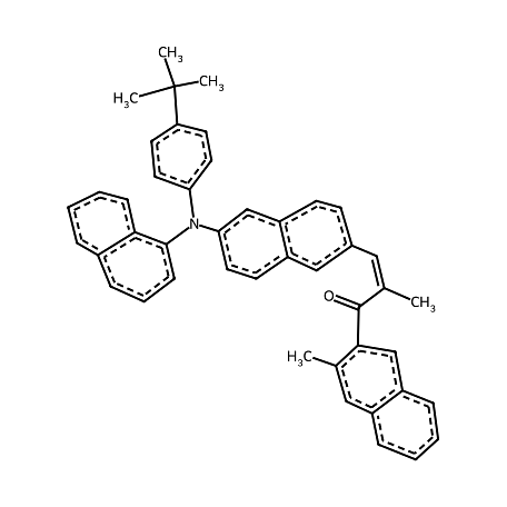 CC(=Cc1ccc2cc(N(c3ccc(C(C)(C)C)cc3)c3cccc4ccccc34)ccc2c1)C(=O)c1cc2ccccc2cc1C